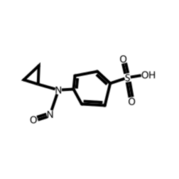 O=NN(c1ccc(S(=O)(=O)O)cc1)C1CC1